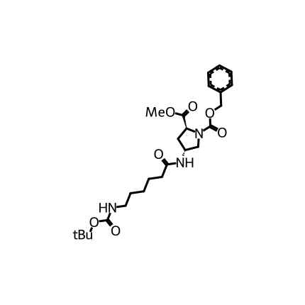 COC(=O)[C@@H]1C[C@@H](NC(=O)CCCCCNC(=O)OC(C)(C)C)CN1C(=O)OCc1ccccc1